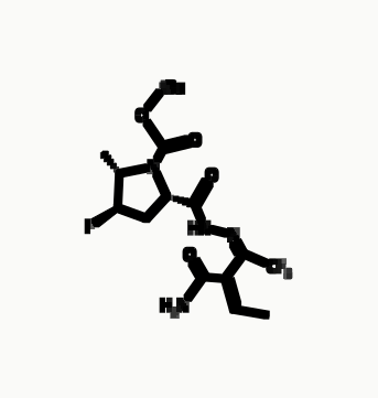 C/C=C(C(N)=O)\C(=N/NC(=O)[C@@H]1C[C@@H](F)[C@H](C)N1C(=O)OC(C)(C)C)C(F)(F)F